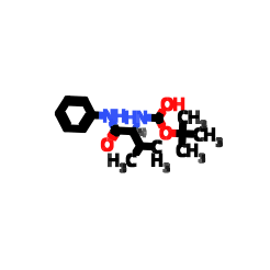 CC(C)[C@H](NC(O)OC(C)(C)C)C(=O)Nc1ccccc1